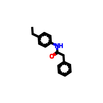 CCc1ccc(NC(=O)Cc2ccccc2)cc1